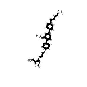 C=C(CO)C(=O)OCCOc1ccc(-c2ccc(-c3ccc(CCCCC)cc3)cc2CC)cc1